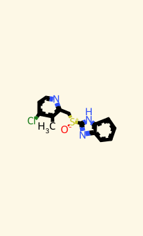 Cc1c(Cl)ccnc1C[S@@+]([O-])c1nc2ccccc2[nH]1